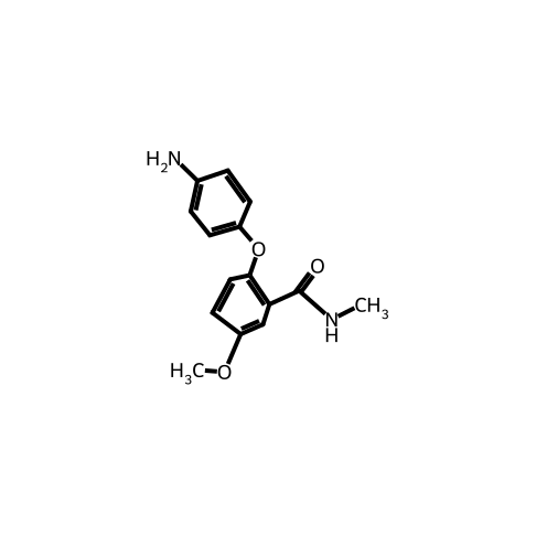 CNC(=O)c1cc(OC)ccc1Oc1ccc(N)cc1